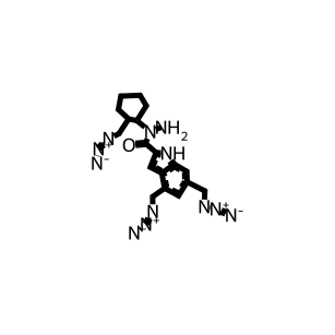 [N-]=[N+]=NCc1cc(CN=[N+]=[N-])c2cc(C(=O)N(N)C3CCCCC3CN=[N+]=[N-])[nH]c2c1